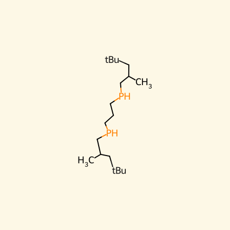 CC(CPCCCPCC(C)CC(C)(C)C)CC(C)(C)C